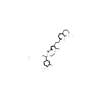 COc1ccc(C(CC(=O)O)N2CCn3c(cc(CCc4ccc5c(n4)NCCC5)c3I)C2=O)cc1F